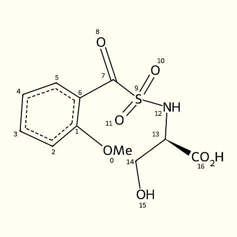 COc1ccccc1C(=O)S(=O)(=O)N[C@H](CO)C(=O)O